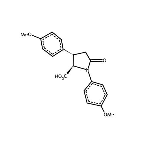 COc1ccc([C@@H]2CC(=O)N(c3ccc(OC)cc3)[C@H]2C(=O)O)cc1